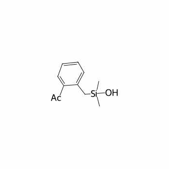 CC(=O)c1ccccc1C[Si](C)(C)O